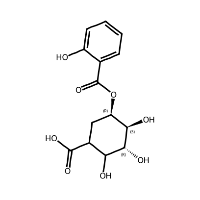 O=C(O[C@@H]1CC(C(=O)O)C(O)[C@@H](O)[C@@H]1O)c1ccccc1O